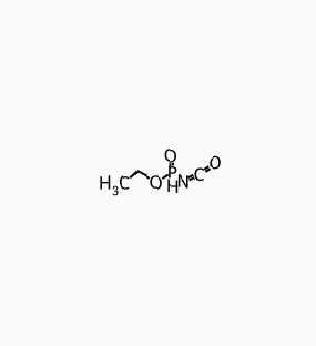 CCO[PH](=O)N=C=O